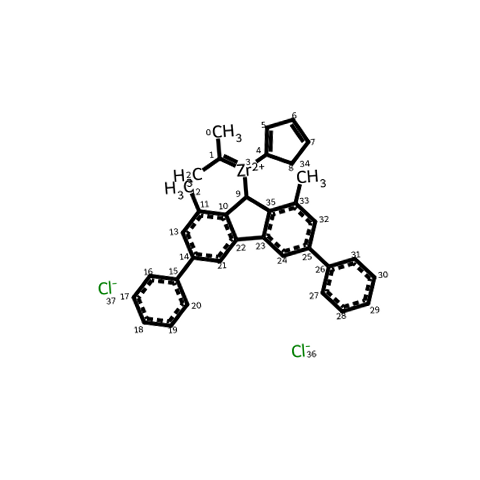 C[C](C)=[Zr+2]([C]1=CC=CC1)[CH]1c2c(C)cc(-c3ccccc3)cc2-c2cc(-c3ccccc3)cc(C)c21.[Cl-].[Cl-]